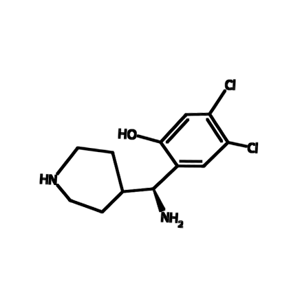 N[C@H](c1cc(Cl)c(Cl)cc1O)C1CCNCC1